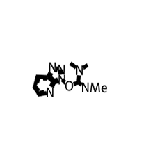 CNC(On1nnc2cccnc21)N(C)C